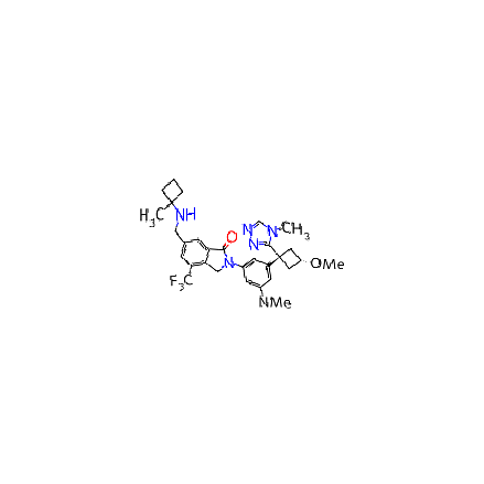 CNc1cc(N2Cc3c(cc(CNC4(C)CCC4)cc3C(F)(F)F)C2=O)cc([C@]2(c3nncn3C)C[C@@H](OC)C2)c1